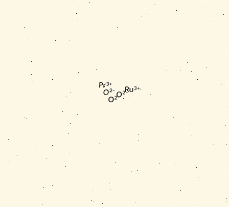 [O-2].[O-2].[O-2].[Pr+3].[Ru+3]